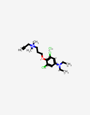 C#CC[N+](C)(C)CCCOc1c(Cl)cc(N(CC)CC)cc1Cl.[Cl-]